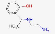 NCCNC(C(=O)O)c1ccccc1O